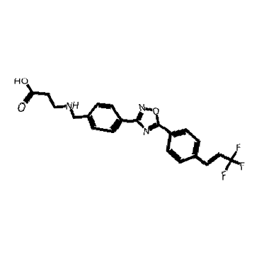 O=C(O)CCNCc1ccc(-c2noc(-c3ccc(/C=C/C(F)(F)F)cc3)n2)cc1